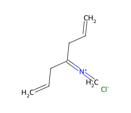 C=CCC(CC=C)=[N+]=C.[Cl-]